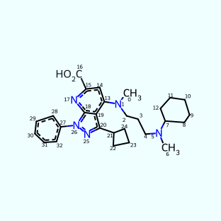 CN(CCCN(C)C1CCCCC1)c1cc(C(=O)O)nc2c1c(C1CCC1)nn2-c1ccccc1